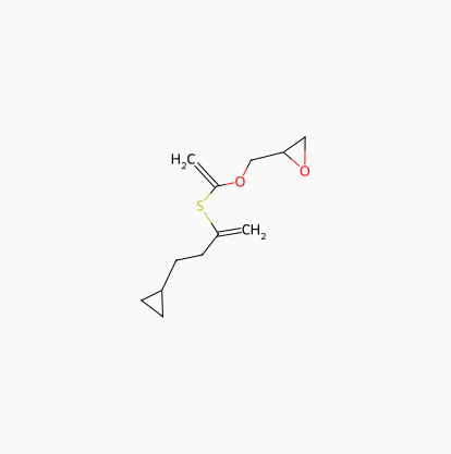 C=C(CCC1CC1)SC(=C)OCC1CO1